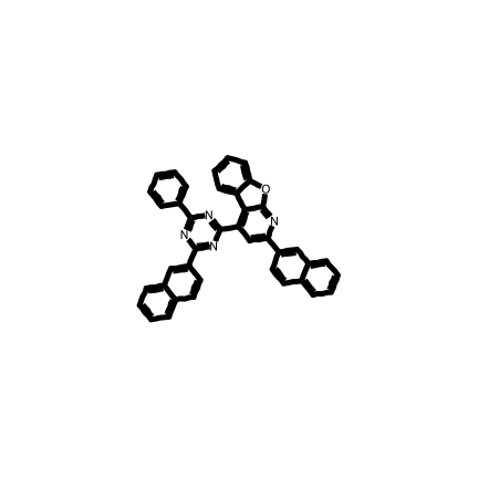 c1ccc(-c2nc(-c3ccc4ccccc4c3)nc(-c3cc(-c4ccc5ccccc5c4)nc4oc5ccccc5c34)n2)cc1